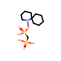 O=P(O)(O)CP(=O)(O)ON1CCCCC12CCCCC2